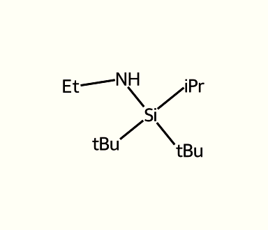 CCN[Si](C(C)C)(C(C)(C)C)C(C)(C)C